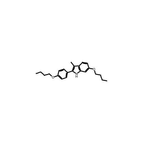 CCCCOc1ccc(-c2[nH]c3cc(OCCCC)ccc3c2C)cc1